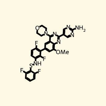 COc1cc(-c2c(F)ccc(NSc3c(F)cccc3F)c2F)cc2c(N3CCOCC3)nc(-c3cnc(N)nc3)nc12